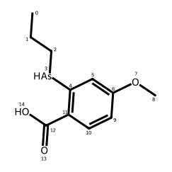 CCC[AsH]c1cc(OC)ccc1C(=O)O